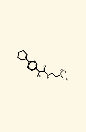 CC(C(=O)NCCN(C)C)c1ccc(C2=CCCCC2)cc1